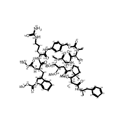 CC[C@H](C)[C@@H]([C@@H](CC(=O)N1CCC[C@]1(C)[C@H](OC)[C@@H](C)C(=O)N[C@H](C)Cc1ccccc1)OC)N(C)C(=O)[C@@H](NC(=O)[C@H](C(C)C)N(C)C(=O)OCc1ccc(NC(=O)[C@H](CCCNC(N)=O)NC(=O)[C@@H](Cc2cn(C(=O)OC(C)(C)C)c3ccccc23)NC(=O)OC(C)(C)C)cc1)C(C)C